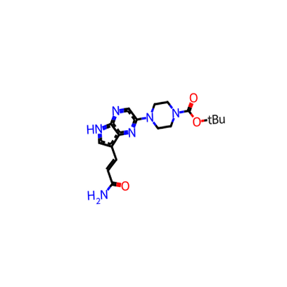 CC(C)(C)OC(=O)N1CCN(c2cnc3[nH]cc(/C=C/C(N)=O)c3n2)CC1